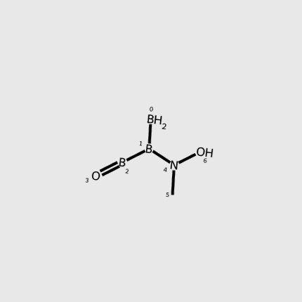 BB(B=O)N(C)O